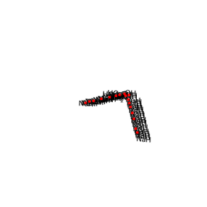 O=C(O)O.O=C(O)O.O=C(O)O.O=C(O)O.[NaH].[NaH].[NaH].[NaH].[NaH].[NaH].[NaH].[NaH].[NaH].[NaH].[NaH].[NaH].[NaH].[NaH].[NaH].[NaH].[NaH].[NaH].[NaH].[NaH].[NaH].[NaH].[NaH].[NaH].[NaH].[NaH].[NaH].[NaH].[NaH].[NaH].[NaH].[NaH].[NaH].[NaH].[NaH].[NaH].[NaH].[NaH].[NaH].[NaH]